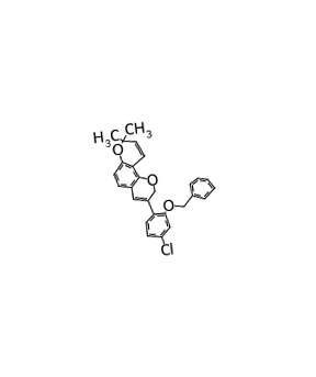 CC1(C)C=Cc2c(ccc3c2OCC(c2ccc(Cl)cc2OCc2ccccc2)=C3)O1